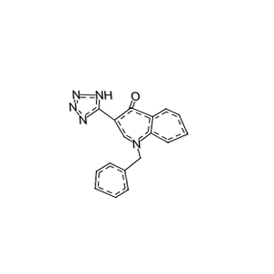 O=c1c(-c2nnn[nH]2)cn(Cc2ccccc2)c2ccccc12